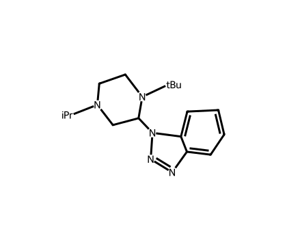 CC(C)N1CCN(C(C)(C)C)C(n2nnc3ccccc32)C1